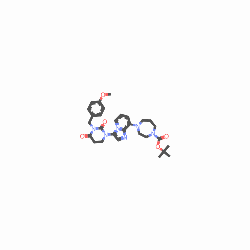 COc1ccc(CN2C(=O)CCN(c3cnc4c(N5CCCN(C(=O)OC(C)(C)C)CC5)cccn34)C2=O)cc1